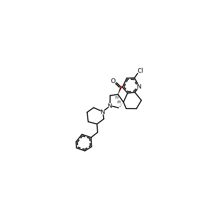 O=C[C@@H]1CN(N2CCCC(Cc3ccccc3)C2)C[C@]12CCCc1nc(Cl)ccc12